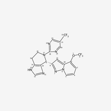 FC(F)(F)Oc1cccn2nc([C@@H]3c4nc[nH]c4CCN3c3ncc(C(F)(F)F)cn3)cc12